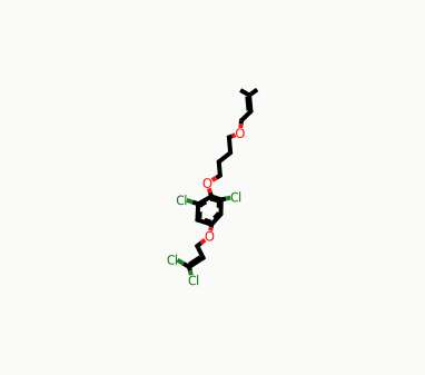 CC(C)=CCOCCCCOc1c(Cl)cc(OCC=C(Cl)Cl)cc1Cl